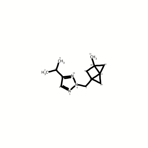 CC(C)c1cnn(CC23CC4(C)CC42C3)n1